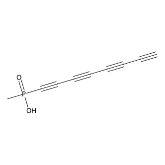 C#CC#CC#CC#CP(C)(=O)O